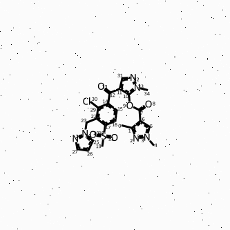 Cc1nn(C)cc1C(=O)Oc1c(C(=O)c2ccc(S(C)(=O)=O)c(Cn3cccn3)c2Cl)cnn1C